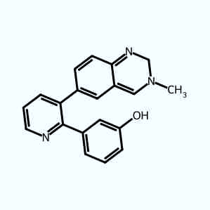 CN1C=c2cc(-c3cccnc3-c3cccc(O)c3)ccc2=NC1